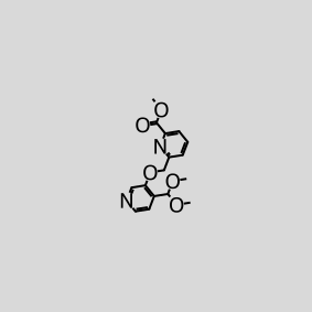 COC(=O)c1cccc(COc2cnccc2C(OC)OC)n1